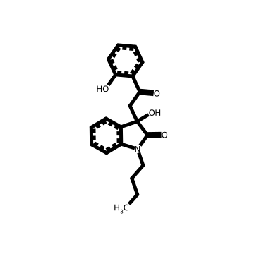 CCCCN1C(=O)C(O)(CC(=O)c2ccccc2O)c2ccccc21